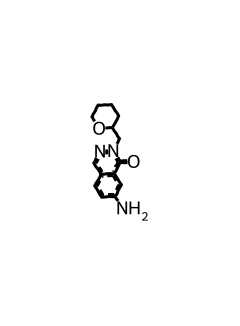 Nc1ccc2cnn(CC3CCCCO3)c(=O)c2c1